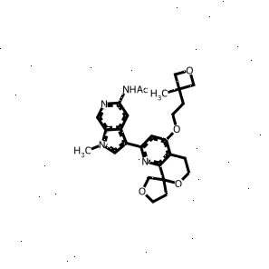 CC(=O)Nc1cc2c(-c3cc(OCCC4(C)COC4)c4c(n3)C3(CCOC3)OCC4)cn(C)c2cn1